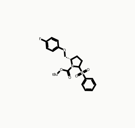 CC(C)(C)OC(=O)N1C(S(=O)(=O)c2ccccc2)CC[C@H]1COc1ccc(F)cc1